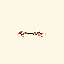 OCC1CSC(CSCCCCCCSCC2SCC(CO)S2)S1